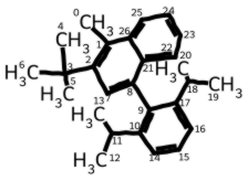 Cc1c(C(C)(C)C)cc(-c2c(C(C)C)cccc2C(C)C)c2ccccc12